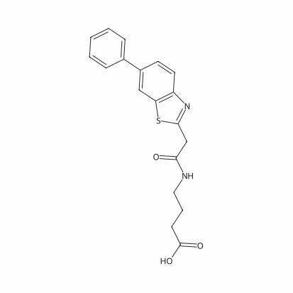 O=C(O)CCCNC(=O)Cc1nc2ccc(-c3ccccc3)cc2s1